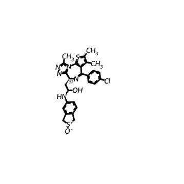 Cc1sc2c(c1C)C(c1ccc(Cl)cc1)=N[C@@H](CC(O)Nc1ccc3c(c1)C[S+]([O-])C3)c1nnc(C)n1-2